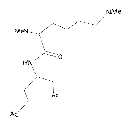 CNCCCCC(NC)C(=O)NC(CCC(C)=O)CC(C)=O